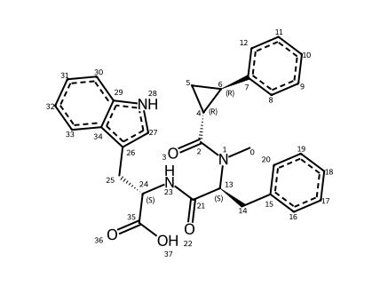 CN(C(=O)[C@@H]1C[C@H]1c1ccccc1)[C@@H](Cc1ccccc1)C(=O)N[C@@H](Cc1c[nH]c2ccccc12)C(=O)O